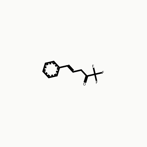 O=C(CC=Cc1ccccc1)C(F)(F)F